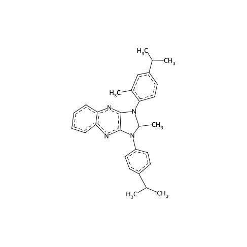 Cc1cc(C(C)C)ccc1N1c2nc3ccccc3nc2N(c2ccc(C(C)C)cc2)C1C